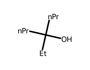 CCCC(O)(CC)CCC